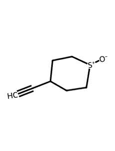 C#CC1CC[S+]([O-])CC1